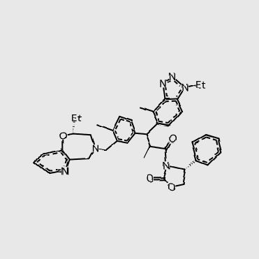 CC[C@@H]1CN(Cc2cc(C(c3ccc4c(nnn4CC)c3C)C(C)C(=O)N3C(=O)OC[C@H]3c3ccccc3)ccc2C)Cc2ncccc2O1